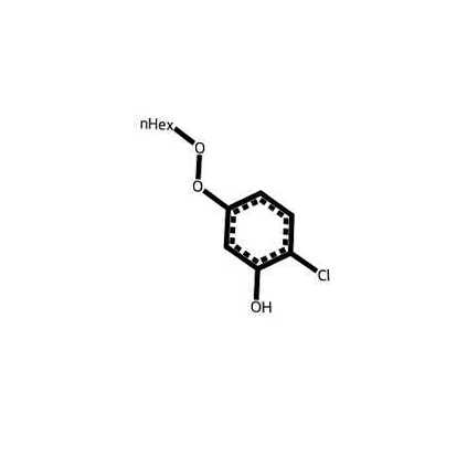 CCCCCCOOc1ccc(Cl)c(O)c1